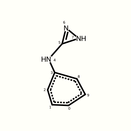 c1ccc(NC2=NN2)cc1